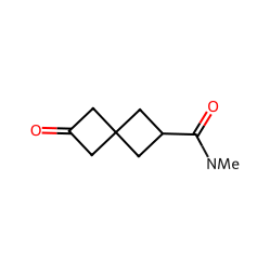 CNC(=O)C1CC2(CC(=O)C2)C1